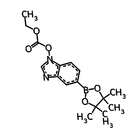 CCOC(=O)On1cnc2cc(B3OC(C)(C)C(C)(C)O3)ccc21